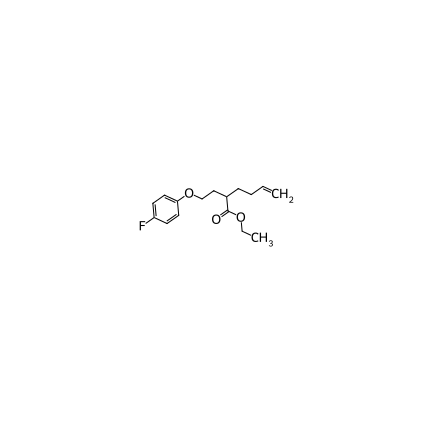 C=CCCC(CCOc1ccc(F)cc1)C(=O)OCC